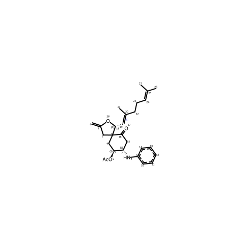 C=C1CC2(C[C@H](OC(C)=O)[C@@H](Nc3ccccc3)CC2=O)[C@@H](/C=C(\C)CCC=C(C)C)O1